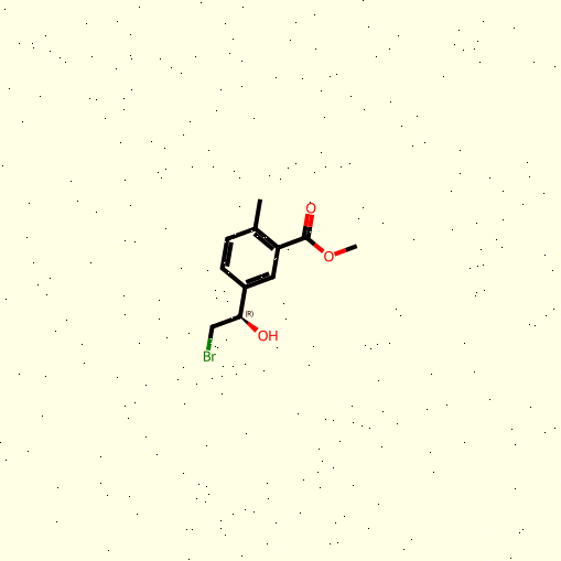 COC(=O)c1cc([C@@H](O)CBr)ccc1C